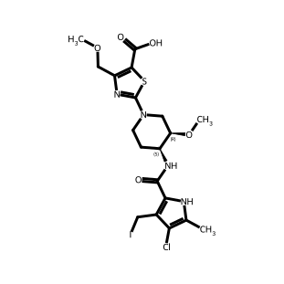 COCc1nc(N2CC[C@H](NC(=O)c3[nH]c(C)c(Cl)c3CI)[C@H](OC)C2)sc1C(=O)O